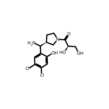 NC(c1cc(Cl)c(Cl)cc1O)[C@H]1CCN(C(=O)[C@H](O)CO)C1